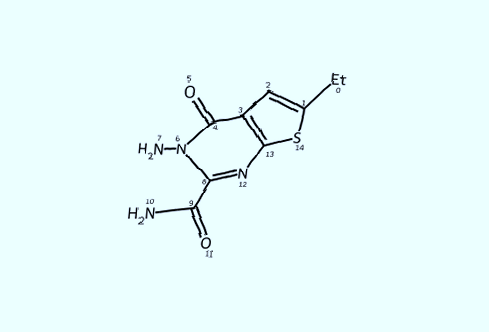 CCc1cc2c(=O)n(N)c(C(N)=O)nc2s1